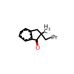 CC(C)CC1(C)Cc2ccccc2C1=O